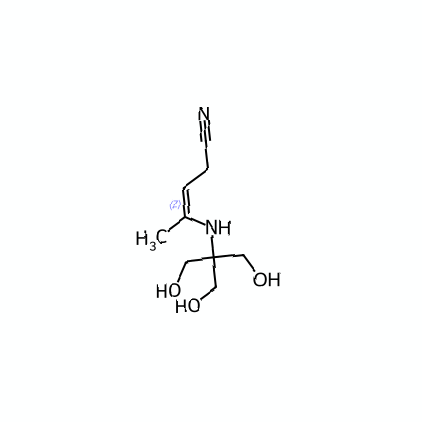 C/C(=C/CC#N)NC(CO)(CO)CO